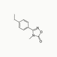 CCc1ccc(-c2noc(=O)n2C)cc1